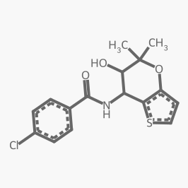 CC1(C)Oc2ccsc2C(NC(=O)c2ccc(Cl)cc2)C1O